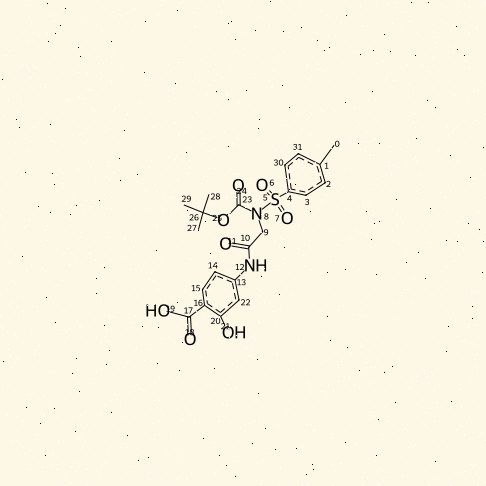 Cc1ccc(S(=O)(=O)N(CC(=O)Nc2ccc(C(=O)O)c(O)c2)C(=O)OC(C)(C)C)cc1